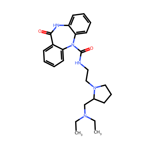 CCN(CC)CC1CCCN1CCNC(=O)N1c2ccccc2NC(=O)c2ccccc21